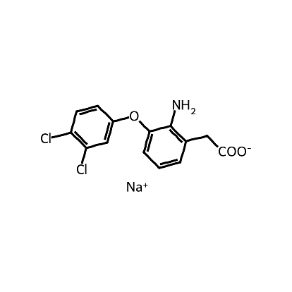 Nc1c(CC(=O)[O-])cccc1Oc1ccc(Cl)c(Cl)c1.[Na+]